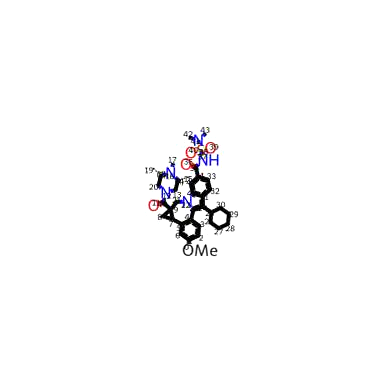 COc1ccc2c(c1)C1CC1(C(=O)N1C[C@@H](C)N(C)[C@@H](C)C1)Cn1c-2c(C2CCCCC2)c2ccc(C(=O)NS(=O)(=O)N(C)C)cc21